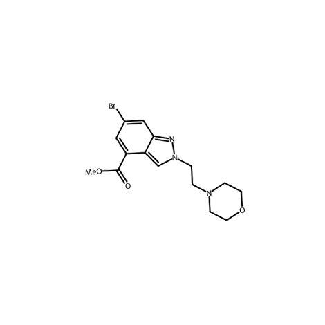 COC(=O)c1cc(Br)cc2nn(CCN3CCOCC3)cc12